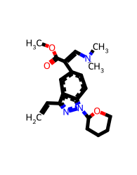 C=Cc1nn(C2CCCCO2)c2ccc(/C(=C\N(C)C)C(=O)OC)cc12